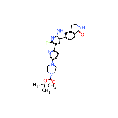 CC(C)(C)OC(=O)N1CCN(c2ccc(-c3cc(-c4ccc5c(c4)CCNC5=O)c(N)nc3F)nc2)CC1